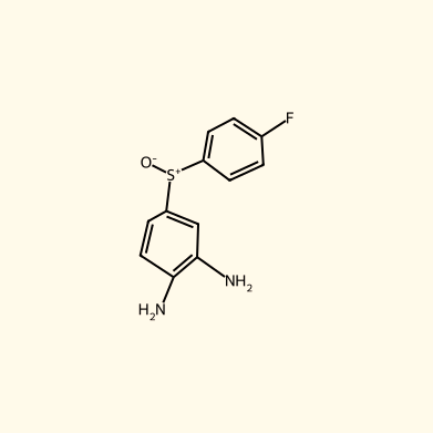 Nc1ccc([S+]([O-])c2ccc(F)cc2)cc1N